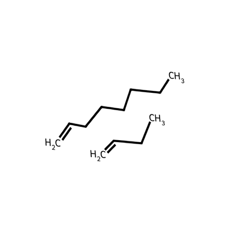 C=CCC.C=CCCCCCC